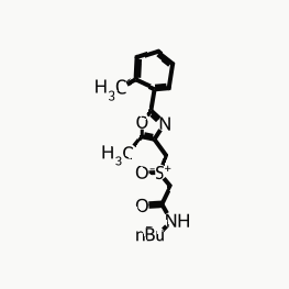 CCCCNC(=O)C[S+]([O-])Cc1nc(-c2ccccc2C)oc1C